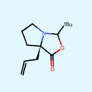 C=CC[C@@]12CCCN1C(C(C)(C)C)OC2=O